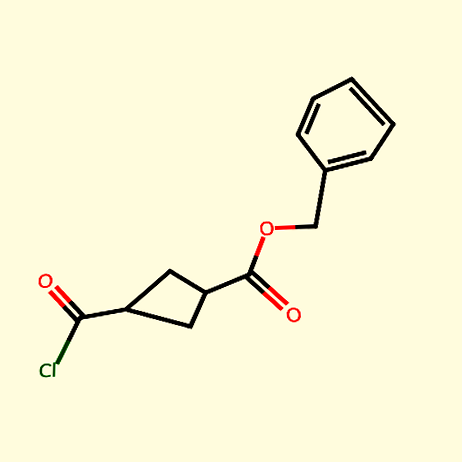 O=C(Cl)C1CC(C(=O)OCc2ccccc2)C1